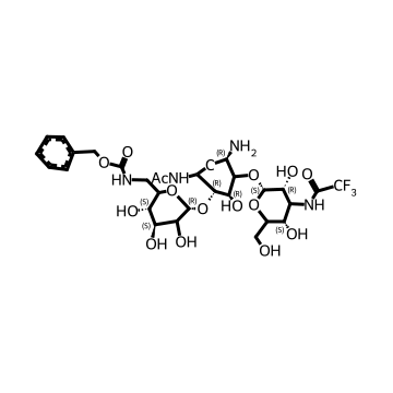 CC(=O)NC1C[C@@H](N)C(O[C@H]2OC(CO)[C@@H](O)C(NC(=O)C(F)(F)F)[C@H]2O)[C@@H](O)[C@@H]1O[C@H]1OC(CNC(=O)OCc2ccccc2)[C@@H](O)[C@H](O)C1O